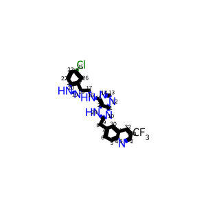 FC(F)(F)c1cnc2ccc(Cc3nc4ncnc(NCc5n[nH]c6ccc(Cl)cc56)c4[nH]3)cc2c1